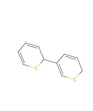 [C]1=CC(C2=CSCC=C2)SC=C1